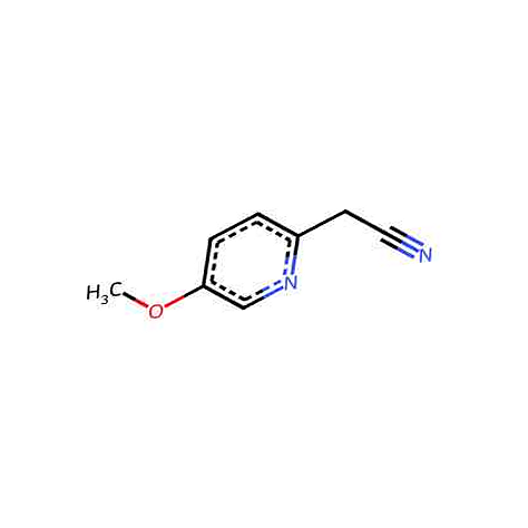 COc1ccc(CC#N)nc1